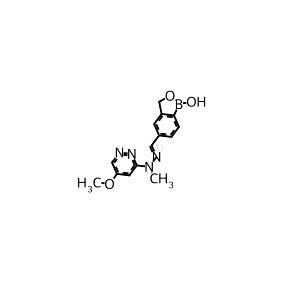 COc1cnnc(N(C)/N=C/c2ccc3c(c2)COB3O)c1